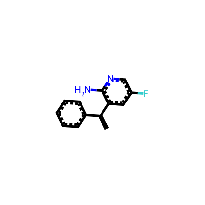 C=C(c1ccccc1)c1cc(F)cnc1N